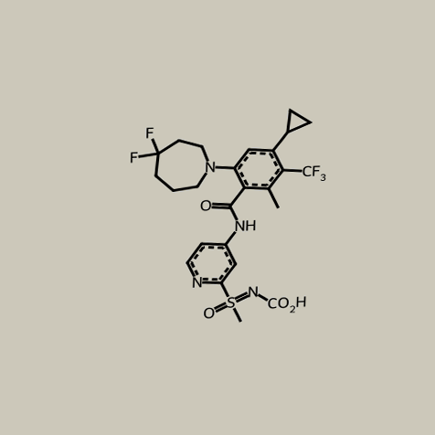 Cc1c(C(=O)Nc2ccnc(S(C)(=O)=NC(=O)O)c2)c(N2CCCC(F)(F)CC2)cc(C2CC2)c1C(F)(F)F